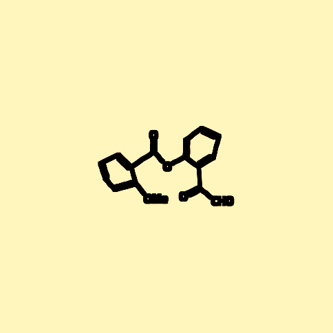 COc1ccccc1C(=O)Oc1ccccc1C(=O)C=O